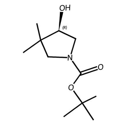 CC(C)(C)OC(=O)N1C[C@H](O)C(C)(C)C1